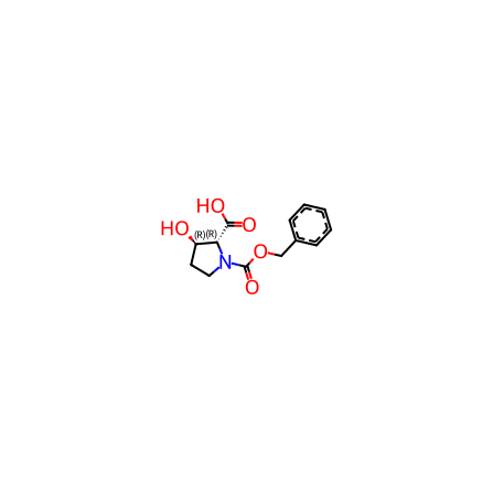 O=C(O)[C@H]1[C@H](O)CCN1C(=O)OCc1ccccc1